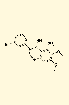 COc1cc2c(c(N)c1OC)C(N)N(c1cccc(Br)c1)C=N2